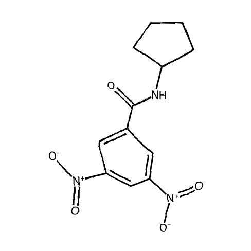 O=C(NC1CCCC1)c1cc([N+](=O)[O-])cc([N+](=O)[O-])c1